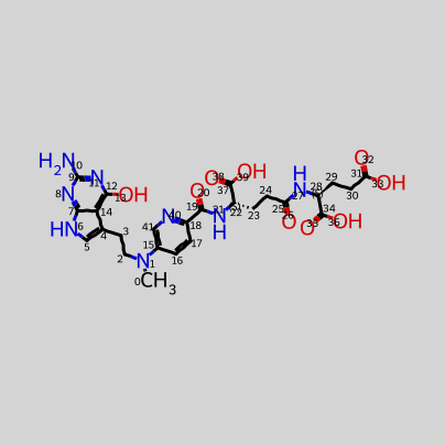 CN(CCc1c[nH]c2nc(N)nc(O)c12)c1ccc(C(=O)N[C@@H](CCC(=O)N[C@@H](CCC(=O)O)C(=O)O)C(=O)O)nc1